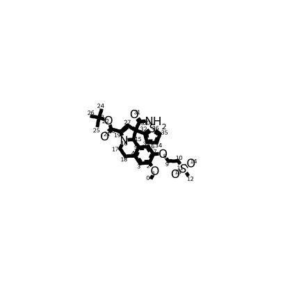 COc1cc2c(cc1OCCS(C)(=O)=O)C1N(CC2)C(C(=O)OC(C)(C)C)=CC1(C(N)=O)c1cccs1